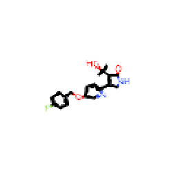 CC(C)(O)C1=C(c2ccc(OCc3ccc(F)cc3)cn2)CNC1=O